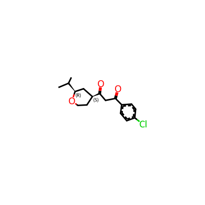 CC(C)[C@H]1C[C@@H](C(=O)CC(=O)c2ccc(Cl)cc2)CCO1